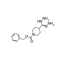 N/N=C(\NN)C1CCN(C(=O)OCc2ccccc2)CC1